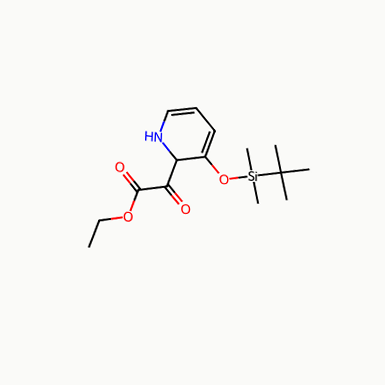 CCOC(=O)C(=O)C1NC=CC=C1O[Si](C)(C)C(C)(C)C